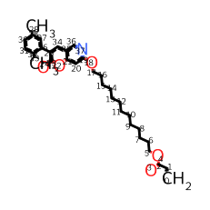 C=CC(=O)OCCCCCCCCCCCCCOc1cc2oc(=O)c(-c3cc(C)ccc3C)cc2cn1